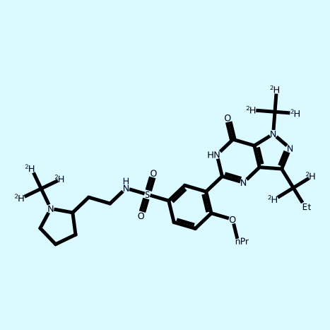 [2H]C([2H])(CC)c1nn(C([2H])([2H])[2H])c2c(=O)[nH]c(-c3cc(S(=O)(=O)NCCC4CCCN4C([2H])([2H])[2H])ccc3OCCC)nc12